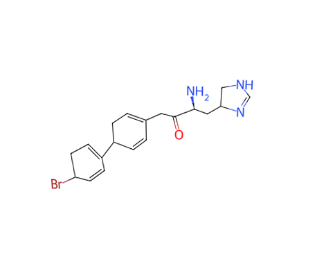 N[C@@H](CC1CNC=N1)C(=O)CC1=CCC(C2=CCC(Br)C=C2)C=C1